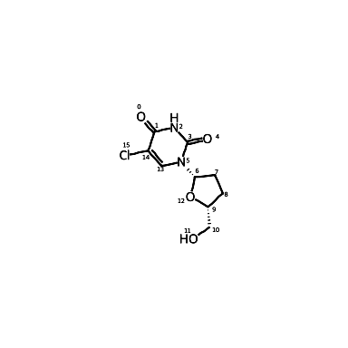 O=c1[nH]c(=O)n([C@@H]2CC[C@H](CO)O2)cc1Cl